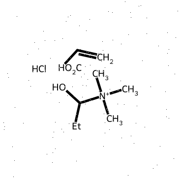 C=CC(=O)O.CCC(O)[N+](C)(C)C.Cl